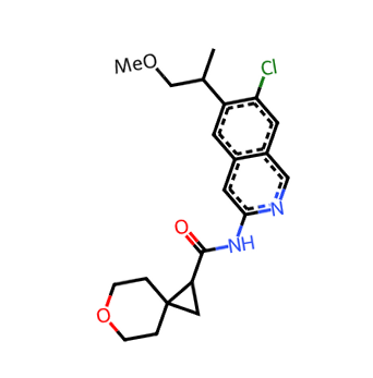 COCC(C)c1cc2cc(NC(=O)C3CC34CCOCC4)ncc2cc1Cl